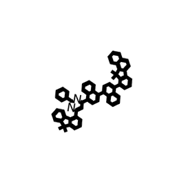 CC1(C)c2ccccc2-c2c(-c3cc(-c4ccc(-c5ccc(-c6cccc7c6C(C)(C)c6c-7ccc7ccccc67)c6ccccc56)c5ccccc45)nc(-c4ccccc4)n3)cccc21